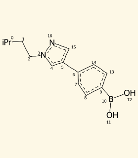 CC(C)CCn1cc(-c2ccc(B(O)O)cc2)cn1